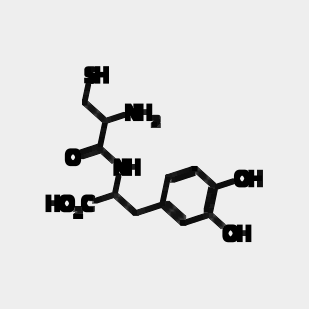 NC(CS)C(=O)NC(Cc1ccc(O)c(O)c1)C(=O)O